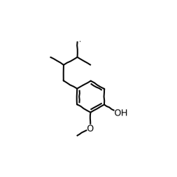 [CH2]C(C)C(C)Cc1ccc(O)c(OC)c1